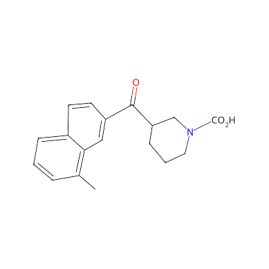 Cc1cccc2ccc(C(=O)C3CCCN(C(=O)O)C3)cc12